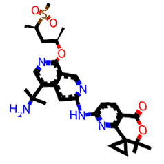 C[C@H](C[C@@H](C)S(C)(=O)=O)Oc1ncc(C(C)(C)N)c2cc(Nc3ccc4c(n3)C3(CC3)C(C)(C)OC4=O)ncc12